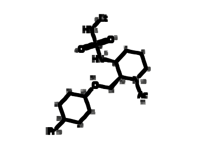 CCNS(=O)(=O)N[C@H]1CCCN(C(C)=O)[C@H]1COC1CCC(C(C)C)CC1